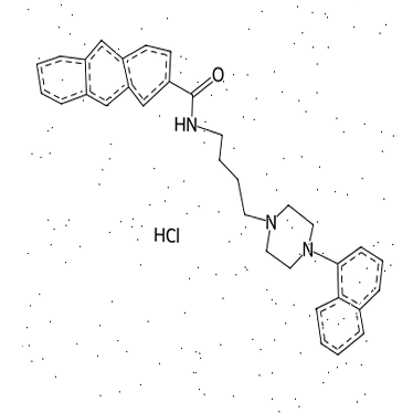 Cl.O=C(NCCCCN1CCN(c2cccc3ccccc23)CC1)c1ccc2cc3ccccc3cc2c1